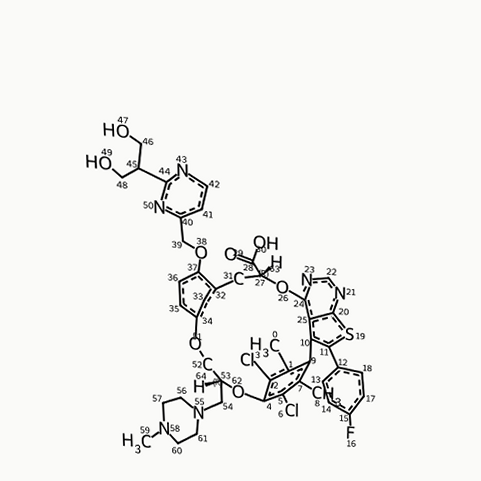 Cc1c(Cl)c2c(Cl)c(C)c1-c1c(-c3ccc(F)cc3)sc3ncnc(c13)O[C@@H](C(=O)O)Cc1cc(ccc1OCc1ccnc(C(CO)CO)n1)OC[C@@H](CN1CCN(C)CC1)O2